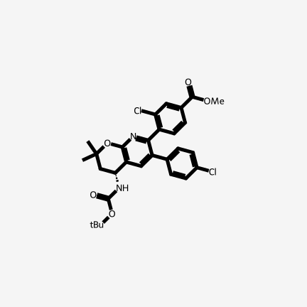 COC(=O)c1ccc(-c2nc3c(cc2-c2ccc(Cl)cc2)[C@H](NC(=O)OC(C)(C)C)CC(C)(C)O3)c(Cl)c1